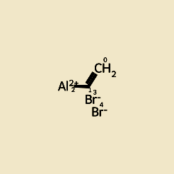 C=[CH][Al+2].[Br-].[Br-]